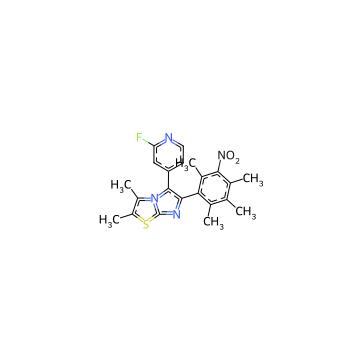 Cc1sc2nc(-c3c(C)c(C)c(C)c([N+](=O)[O-])c3C)c(-c3ccnc(F)c3)n2c1C